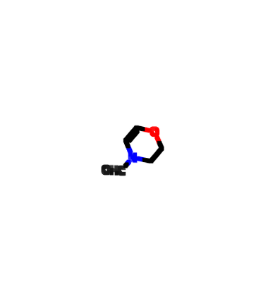 O=CN1C=COCC1